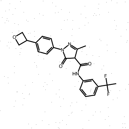 CC1=NN(c2ccc(C3COC3)cc2)C(=O)C1C(=O)Nc1cccc(C(C)(F)F)c1